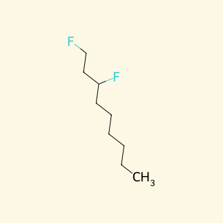 CCCCCCC(F)CCF